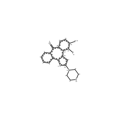 O=c1c2ccccc2c2sc(N3CCSCC3)cc2c2c(F)c(F)ccc12